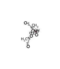 CCN(CCCSc1ccccc1)c1ccc2c(-c3ccccc3S(=O)(=O)O)c3cc/c(=[N+](\CC)CCCSc4ccccc4)cc-3oc2c1